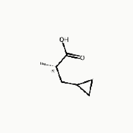 C[C@@H](CC1CC1)C(=O)O